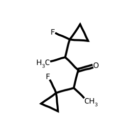 CC(C(=O)C(C)C1(F)CC1)C1(F)CC1